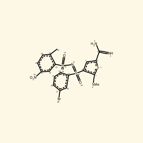 CSc1sc(C(=N)N)cc1S(=O)(=NS(=O)(=O)c1cc([N+](=O)[O-])ccc1C)c1cccc(Br)c1